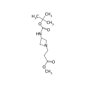 COC(=O)CCN1CC(NC(=O)OC(C)(C)C)C1